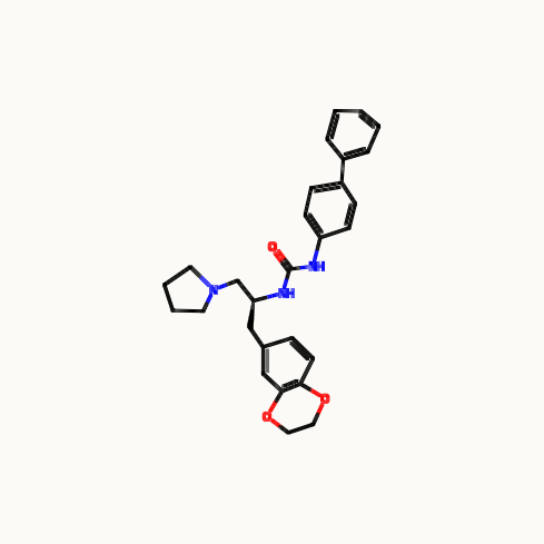 O=C(Nc1ccc(-c2ccccc2)cc1)N[C@@H](Cc1ccc2c(c1)OCCO2)CN1CCCC1